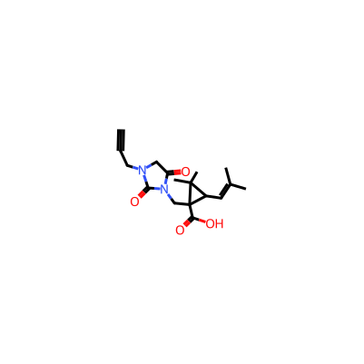 C#CCN1CC(=O)N(CC2(C(=O)O)C(C=C(C)C)C2(C)C)C1=O